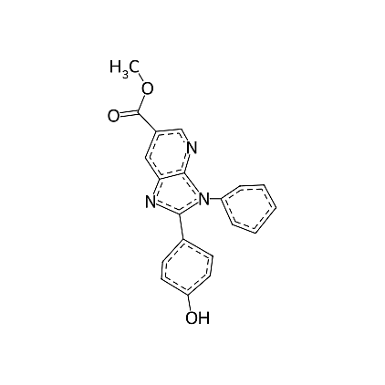 COC(=O)c1cnc2c(c1)nc(-c1ccc(O)cc1)n2-c1ccccc1